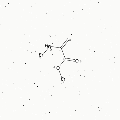 C=C(NCC)C(=O)OCC